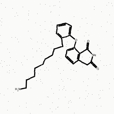 NCCCCCCCCCc1ccccc1Oc1cccc2c1C(=O)NC(=O)C2